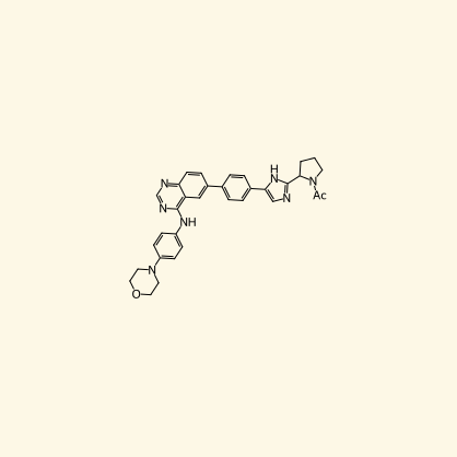 CC(=O)N1CCCC1c1ncc(-c2ccc(-c3ccc4ncnc(Nc5ccc(N6CCOCC6)cc5)c4c3)cc2)[nH]1